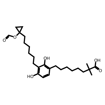 CC(C)(CCCCCCc1ccc(O)c(CCCCCCC2(OC=O)CC2)c1O)C(=O)O